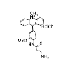 COc1cc(-c2c3ccccc3[n+](C)c3ccccc23)ccc1NC(=O)CCN.Cl.[Cl-]